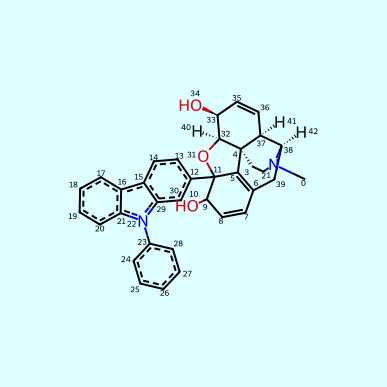 CN1CC[C@]23C4=C5C=CC(O)C4(c4ccc6c7ccccc7n(-c7ccccc7)c6c4)O[C@H]2[C@@H](O)C=C[C@H]3[C@H]1C5